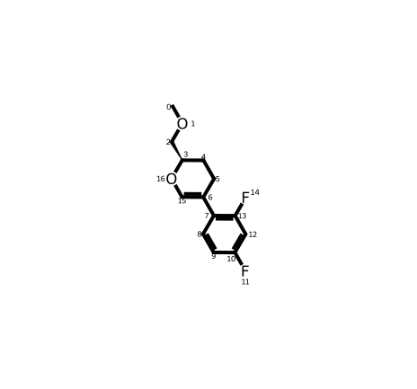 COC[C@H]1CCC(c2ccc(F)cc2F)=CO1